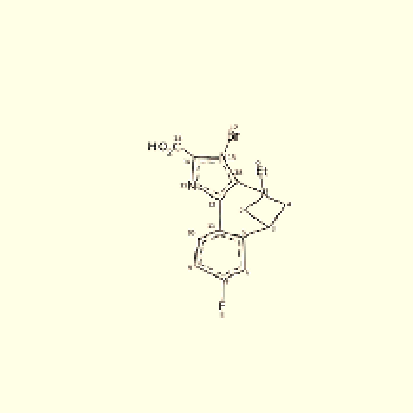 CCC12CC(C1)c1cc(F)ccc1-c1nc(C(=O)O)n(Br)c12